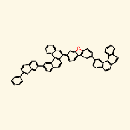 c1ccc(-c2ccc3ccc(-c4ccc5ccc6c(-c7ccc8c(c7)oc7ccc(-c9ccc%10ccc%11ccc%12ccccc%12c%11c%10c9)cc78)cc7ccccc7c6c5c4)cc3c2)cc1